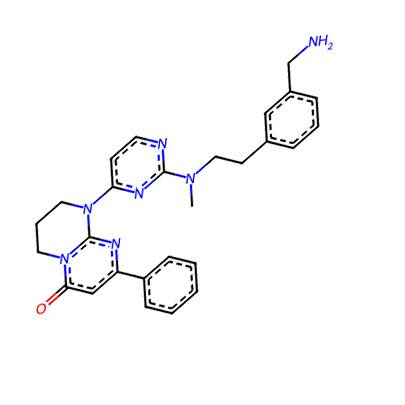 CN(CCc1cccc(CN)c1)c1nccc(N2CCCn3c2nc(-c2ccccc2)cc3=O)n1